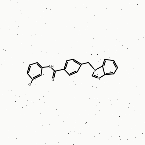 O=C(Nc1cccc(Cl)c1)c1ccc(Cn2cnc3ccccc32)cc1